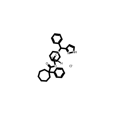 O=C(O[C@H]1C[N+]2(C(c3ccccc3)c3cc[nH]n3)CCC1CC2)C1(c2ccccc2)CCCCCC1.[Cl-]